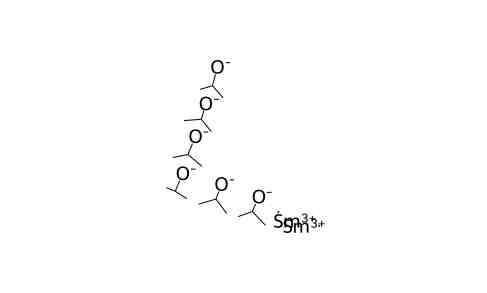 CC(C)[O-].CC(C)[O-].CC(C)[O-].CC(C)[O-].CC(C)[O-].CC(C)[O-].[Sm+3].[Sm+3]